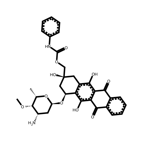 CO[C@@H]1[C@H](C)O[C@@H](O[C@H]2C[C@](O)(COC(=O)Nc3ccccc3)Cc3c(O)c4c(c(O)c32)C(=O)c2ccccc2C4=O)C[C@@H]1N